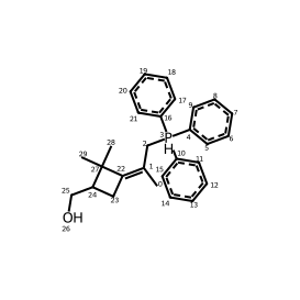 CC(C[PH](c1ccccc1)(c1ccccc1)c1ccccc1)=C1CC(CO)C1(C)C